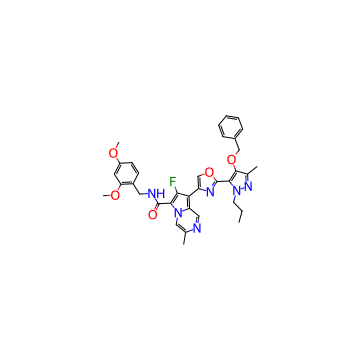 CCCn1nc(C)c(OCc2ccccc2)c1-c1nc(-c2c(F)c(C(=O)NCc3ccc(OC)cc3OC)n3cc(C)ncc23)co1